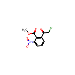 COC(=O)c1c(C(=O)CBr)cccc1[N+](=O)[O-]